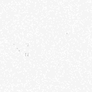 c1ccc(-c2nc(-n3c4ccccc4c4cc5c(cc(-c6ccc7c(c6)c6ccccc6n7-c6ccccc6)c6ccccc65)cc43)nc3ccccc23)cc1